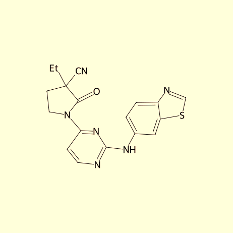 CCC1(C#N)CCN(c2ccnc(Nc3ccc4ncsc4c3)n2)C1=O